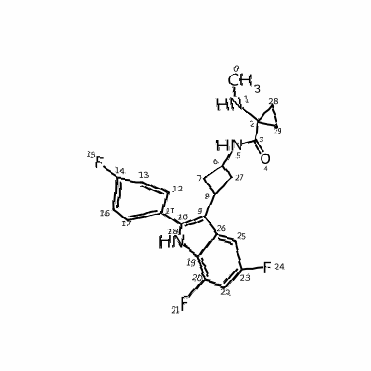 CNC1(C(=O)NC2CC(c3c(-c4ccc(F)cc4)[nH]c4c(F)cc(F)cc34)C2)CC1